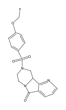 O=C1c2cccnc2C2CN(S(=O)(=O)c3ccc(OCF)cc3)CCN12